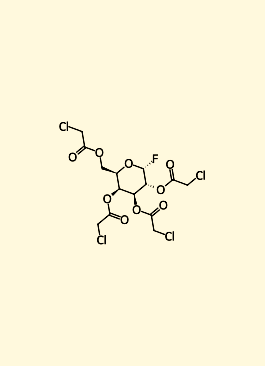 O=C(CCl)OC[C@H]1O[C@H](F)[C@H](OC(=O)CCl)[C@@H](OC(=O)CCl)[C@H]1OC(=O)CCl